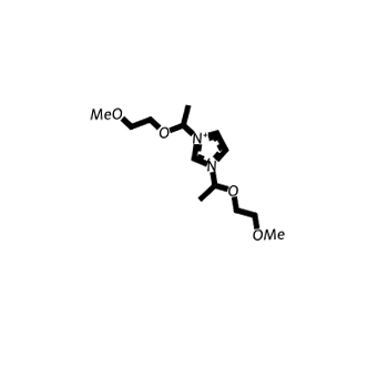 COCCOC(C)n1cc[n+](C(C)OCCOC)c1